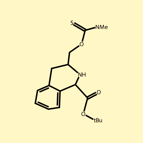 CNC(=S)OCC1Cc2ccccc2C(C(=O)OC(C)(C)C)N1